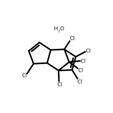 ClC1=C(Cl)C2(Cl)C3C(Cl)C=CC3C1(Cl)C2(Cl)Cl.O